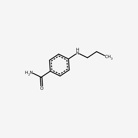 CCCNc1ccc(C(N)=O)cc1